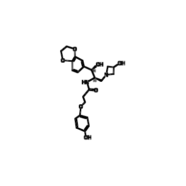 O=C(CCOc1ccc(O)cc1)N[C@H](CN1CC(O)C1)[C@H](O)c1ccc2c(c1)OCCO2